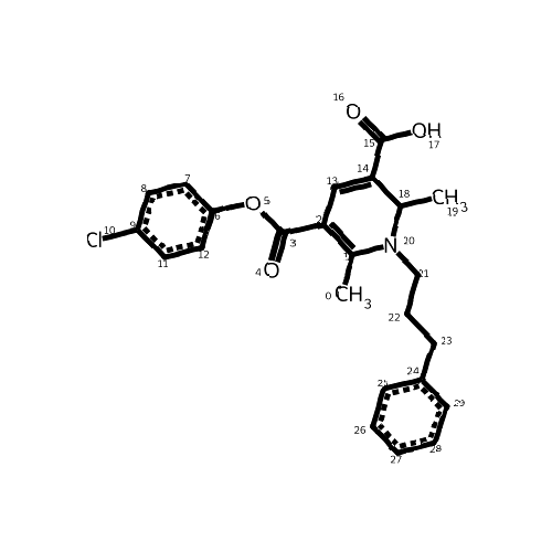 CC1=C(C(=O)Oc2ccc(Cl)cc2)C=C(C(=O)O)C(C)N1CCCc1ccccc1